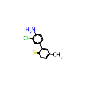 CC1=CCC(=S)C(c2ccc(N)c(Cl)c2)=C1